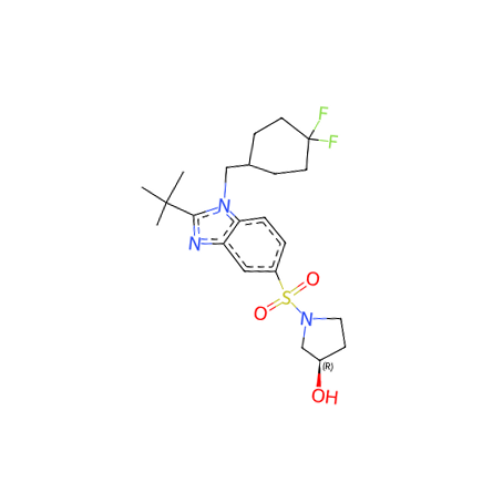 CC(C)(C)c1nc2cc(S(=O)(=O)N3CC[C@@H](O)C3)ccc2n1CC1CCC(F)(F)CC1